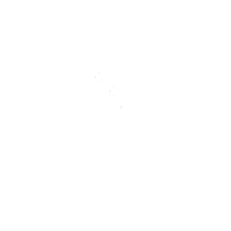 C1COOOC1.Cc1ccc(C)cc1